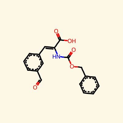 O=Cc1cccc(/C=C(\NC(=O)OCc2ccccc2)C(=O)O)c1